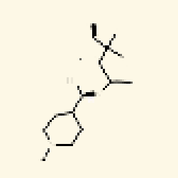 CC(/N=C(\S)C1CCN(C)CC1)[C@H](C)C(C)(N)C=N